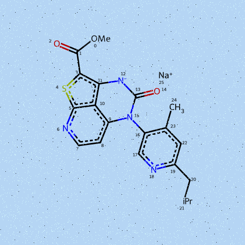 COC(=O)c1sc2nccc3c2c1[N-]C(=O)N3c1cnc(CC(C)C)cc1C.[Na+]